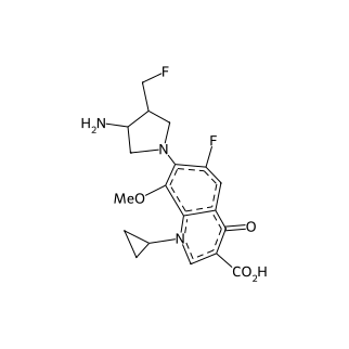 COc1c(N2CC(N)C(CF)C2)c(F)cc2c(=O)c(C(=O)O)cn(C3CC3)c12